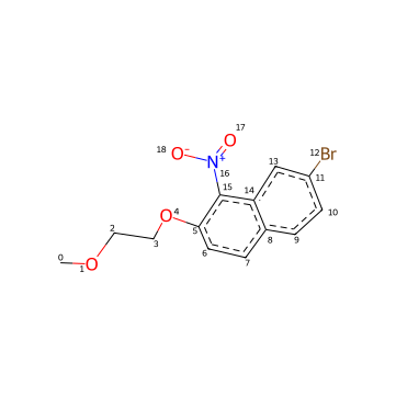 COCCOc1ccc2ccc(Br)cc2c1[N+](=O)[O-]